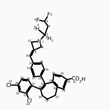 [2H]C([2H])(CC(F)F)N1CC(=Cc2ccc(C3=C(c4ccc(Cl)cc4Cl)CCCc4cc(C(=O)O)ccc43)cc2)C1